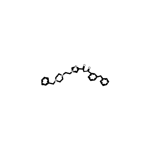 O=C(CC(=O)c1cn(CCN2CCN(Cc3ccccc3)CC2)cn1)c1cccc(Cc2ccccc2)c1